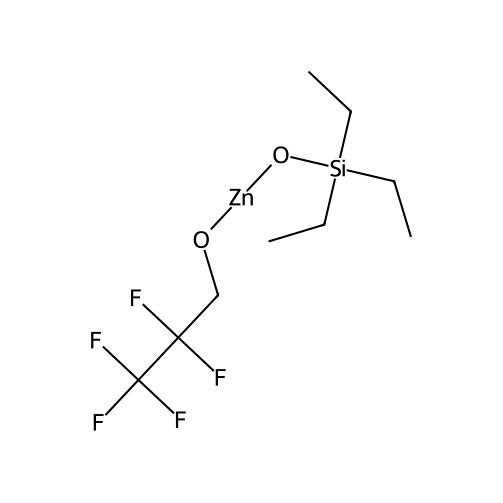 CC[Si](CC)(CC)[O][Zn][O]CC(F)(F)C(F)(F)F